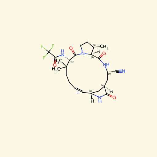 C[C@H]1CCN2C(=O)[C@@H](NC(=O)C(F)(F)F)C(C)(C)CC/C=C\[C@@H]3C[C@@H](C[C@@H](C#N)NC(=O)[C@H]12)C(=O)N3